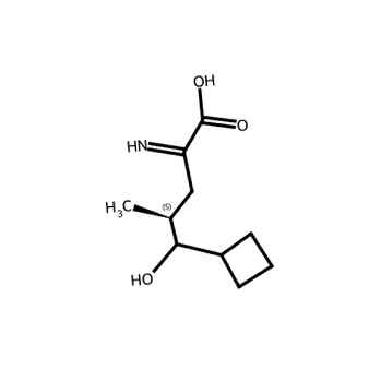 C[C@@H](CC(=N)C(=O)O)C(O)C1CCC1